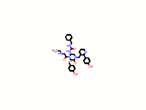 CCNCC(=O)N1[C@@H](NC(=O)NCC2=CC=CCC2)CN(Cc2cccnc2-c2ccc(O)cc2)C(=O)[C@@H]1Cc1ccc(O)cc1